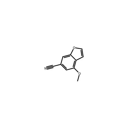 COc1cc(C#N)cc2occc12